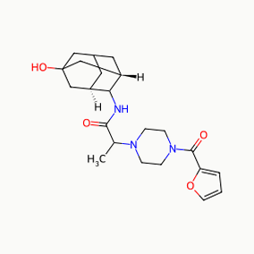 CC(C(=O)NC1[C@@H]2CC3C[C@H]1CC(O)(C3)C2)N1CCN(C(=O)c2ccco2)CC1